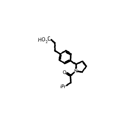 CC(C)CC(=O)N1CCCC1c1ccc(CCC(=O)O)cc1